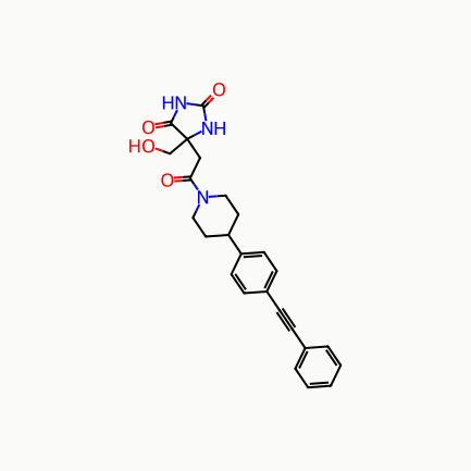 O=C1NC(=O)C(CO)(CC(=O)N2CCC(c3ccc(C#Cc4ccccc4)cc3)CC2)N1